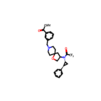 COC(=O)c1cccc(CN2CCC3(CC2)CC(N(C(=O)C(F)(F)F)[C@@H]2C[C@H]2c2ccccc2)CO3)c1